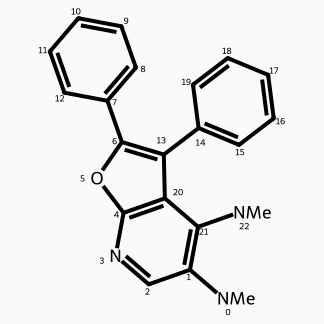 CNc1cnc2oc(-c3ccccc3)c(-c3ccccc3)c2c1NC